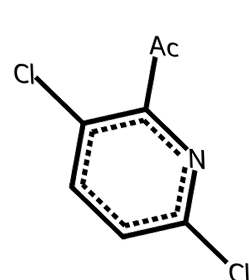 CC(=O)c1nc(Cl)ccc1Cl